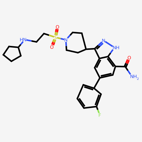 NC(=O)c1cc(-c2cccc(F)c2)cc2c(C3CCN(S(=O)(=O)CCNC4CCCC4)CC3)n[nH]c12